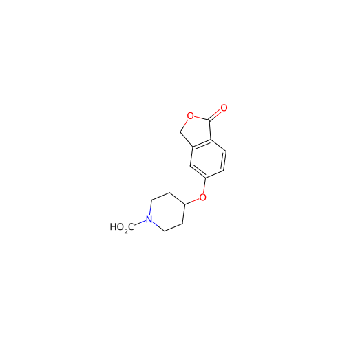 O=C1OCc2cc(OC3CCN(C(=O)O)CC3)ccc21